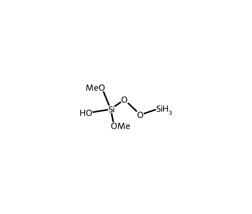 CO[Si](O)(OC)OO[SiH3]